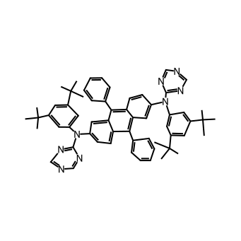 CC(C)(C)c1cc(N(c2ccc3c(-c4ccccc4)c4cc(N(c5cc(C(C)(C)C)cc(C(C)(C)C)c5)c5ncncn5)ccc4c(-c4ccccc4)c3c2)c2ncncn2)cc(C(C)(C)C)c1